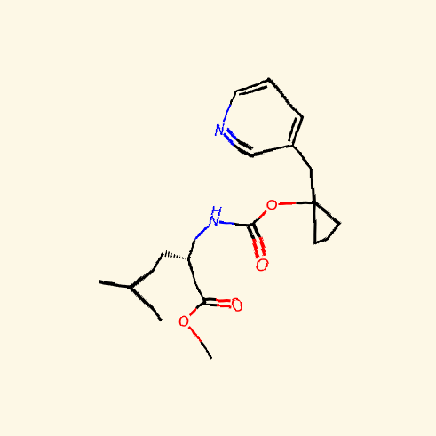 COC(=O)[C@H](CC(C)C)NC(=O)OC1(Cc2cccnc2)CC1